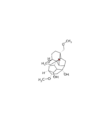 CCN1C[C@@]2(COC)CC[C@H](O)[C@@]34C5C[C@H]6C(O)C5[C@](O)(C[C@@H]6OC)C(CC23)C14